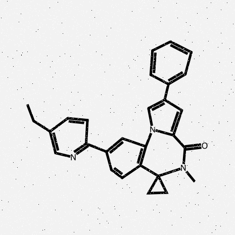 CCc1ccc(-c2ccc3c(c2)-n2cc(-c4ccccc4)cc2C(=O)N(C)C32CC2)nc1